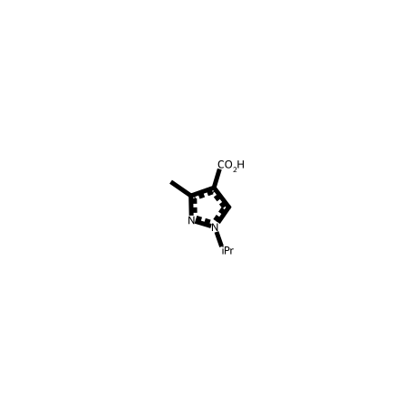 Cc1nn(C(C)C)cc1C(=O)O